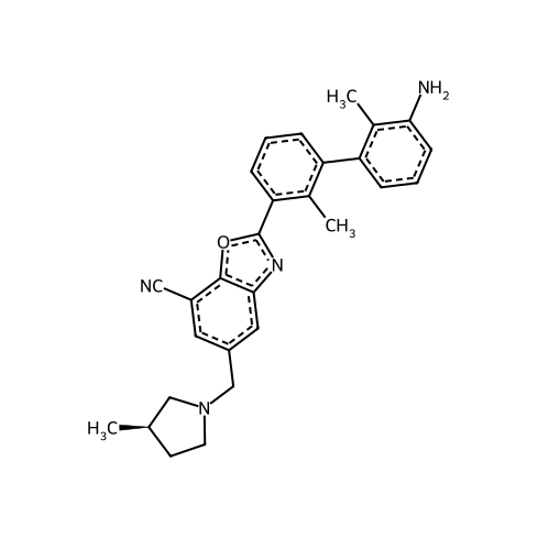 Cc1c(N)cccc1-c1cccc(-c2nc3cc(CN4CC[C@@H](C)C4)cc(C#N)c3o2)c1C